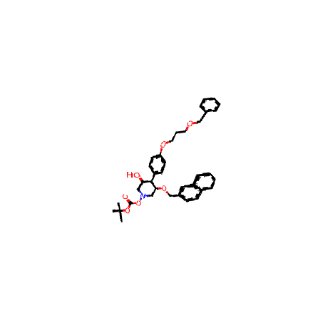 CC(C)(C)OC(=O)ON1CC(O)C(c2ccc(OCCCOCc3ccccc3)cc2)C(OCc2ccc3ccccc3c2)C1